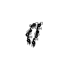 O=C(NCc1ccc(S(=O)(=O)N2CCCC(NCc3ccc(C(F)(F)F)cc3)C2)s1)c1ccc(Cl)cc1.O=C(NCc1ccc(S(=O)(=O)N2CC[C@H](CNCc3ccc(C(F)(F)F)cc3)C2)s1)c1ccc(Cl)cc1